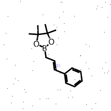 CC1(C)OB(C/C=C/c2ccccc2)OC1(C)C